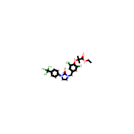 CCOC(=O)C(C)(C)Oc1c(Cl)cc(CN2CCN(c3ccc(C(F)(F)F)cc3)C2=O)cc1Cl